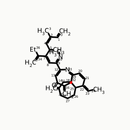 C=C/C(C)=C\C(C)/C(=C\C(=N/C)C1=CC(=O)C(=C)CC(/C=C\C(=C/C)C2CCCC(=C)CC2)=N1)C(=C)CC